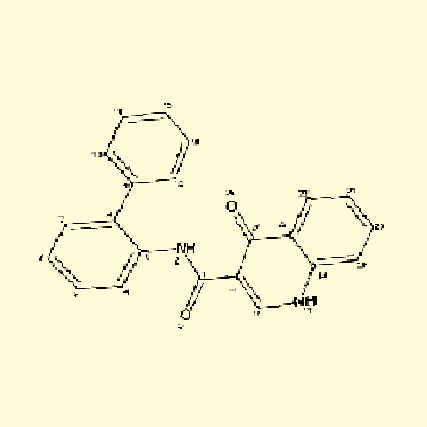 O=C(Nc1ccccc1-c1ccccc1)c1c[nH]c2ccccc2c1=O